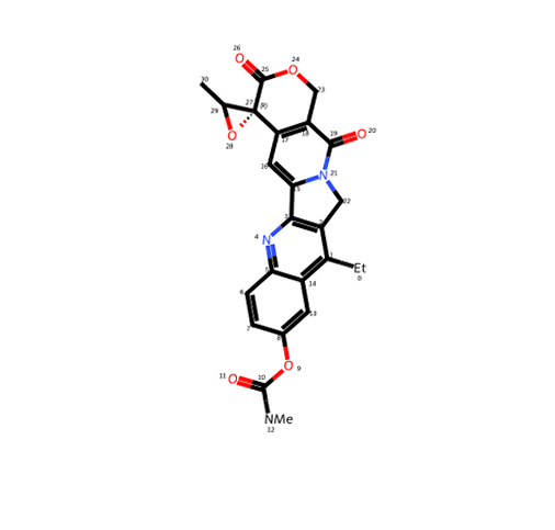 CCc1c2c(nc3ccc(OC(=O)NC)cc13)-c1cc3c(c(=O)n1C2)COC(=O)[C@@]31OC1C